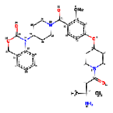 COc1cc(OC2CCN(C(=O)CC(C)(C)N)CC2)ccc1C(=O)N1CCC(N2C(=O)OCc3ccccc32)CC1